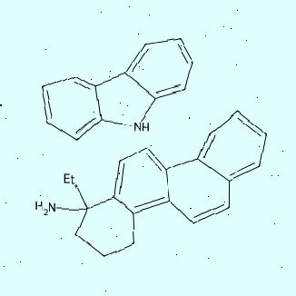 CCC1(N)CCCc2c1ccc1c2ccc2ccccc21.c1ccc2c(c1)[nH]c1ccccc12